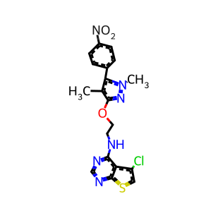 Cc1c(OCCNc2ncnc3scc(Cl)c23)nn(C)c1-c1ccc([N+](=O)[O-])cc1